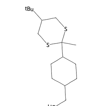 CC(C)(C)C1CSC(C)(C2CCC(CO)CC2)SC1